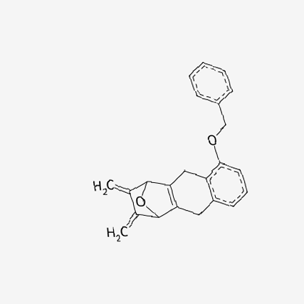 C=C1C(=C)C2OC1C1=C2Cc2c(cccc2OCc2ccccc2)C1